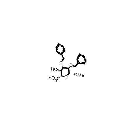 CO[C@@H]1O[C@H](C(=O)O)[C@@H](O)[C@H](OCc2ccccc2)[C@H]1OCc1ccccc1